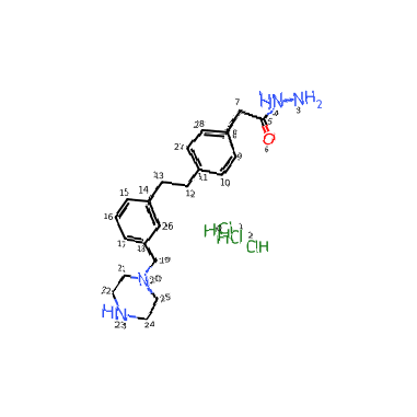 Cl.Cl.Cl.NNC(=O)Cc1ccc(CCc2cccc(CN3CCNCC3)c2)cc1